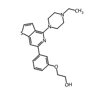 CCN1CCN(c2nc(-c3cccc(OCCO)c3)cc3sccc23)CC1